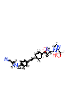 C[C@H](O)c1nccn1Cc1cc(-c2ccc(C#Cc3ccc(CN4CC(C#N)C4)cc3)cc2)on1